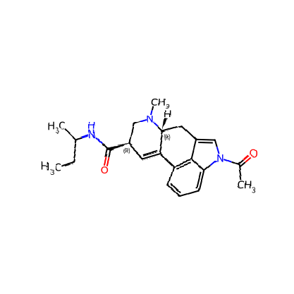 CCC(C)NC(=O)[C@@H]1C=C2c3cccc4c3c(cn4C(C)=O)C[C@H]2N(C)C1